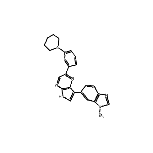 CC(C)(C)n1cnc2ccc(-c3c[nH]c4ncc(-c5cccc(N6CCCCC6)c5)nc34)cc21